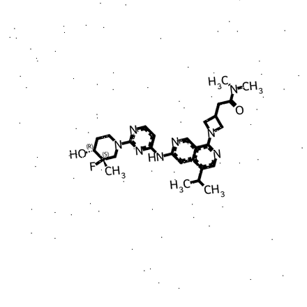 CC(C)c1cnc(N2CC(CC(=O)N(C)C)C2)c2cnc(Nc3ccnc(N4CC[C@@H](O)[C@@](C)(F)C4)n3)cc12